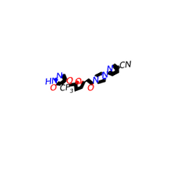 N#Cc1ccc(N2CCN(C(=O)C[C@H]3CCC(COc4cn[nH]c(=O)c4C(F)(F)F)O3)CC2)nc1